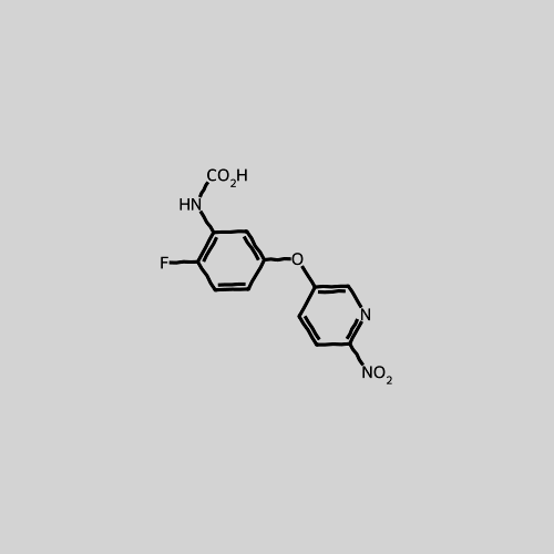 O=C(O)Nc1cc(Oc2ccc([N+](=O)[O-])nc2)ccc1F